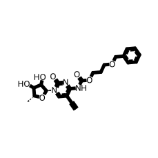 C#Cc1cn([C@@H]2O[C@H](C)C(O)C2O)c(=O)nc1NC(=O)OCCCOCc1ccccc1